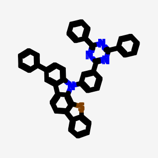 c1ccc(-c2ccc3c(c2)c2ccc4c5ccccc5sc4c2n3-c2cccc(-c3nc(-c4ccccc4)nc(-c4ccccc4)n3)c2)cc1